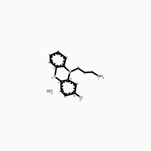 Cl.NCCCN1c2ccccc2Sc2ccc(Cl)cc21